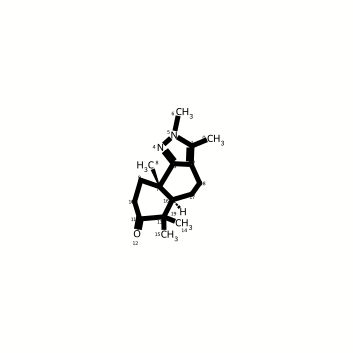 Cc1c2c(nn1C)[C@@]1(C)CCC(=O)C(C)(C)[C@@H]1CC2